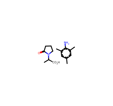 CC(C(=O)O)N1CCCC1=O.Cc1cc(C)c(N)c(C)c1